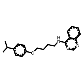 CC(C)c1ccc(OCCCCNc2ncnc3ccccc23)cc1